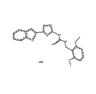 Br.COc1cccc(OC)c1CNC(=N)Nc1nc(-c2cc3ccccc3o2)cs1